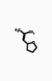 CC(C)=CC1CCCO1